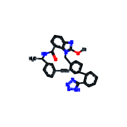 CCOc1nc2cccc(C(=O)NC(C)c3cccc(OC)c3)c2n1Cc1ccc(-c2ccccc2-c2nnn[nH]2)cc1